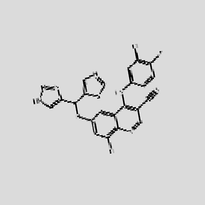 N#Cc1cnc2c(Cl)cc(NC(c3c[nH]nn3)c3cncs3)cc2c1Nc1ccc(F)c(Cl)c1